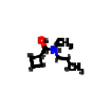 CCCN(C)C(=O)C1CCC1